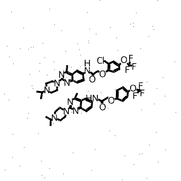 Cc1nc(N2CCN(C(C)C)CC2)nc2ccc(NC(=O)COc3ccc(OC(F)(F)F)cc3)cc12.Cc1nc(N2CCN(C(C)C)CC2)nc2ccc(NC(=O)COc3ccc(OC(F)(F)F)cc3Cl)cc12